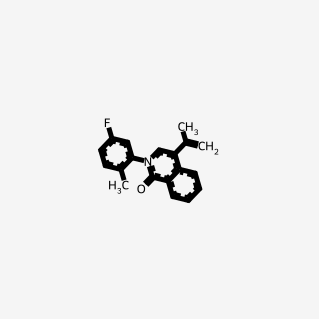 C=C(C)c1cn(-c2cc(F)ccc2C)c(=O)c2ccccc12